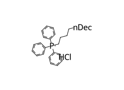 CCCCCCCCCCCCCC[P](c1ccccc1)(c1ccccc1)c1ccccc1.Cl